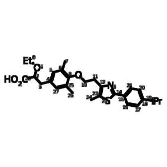 CCOC(Cc1cc(C)c(OCCc2nc(-c3ccc(C(C)C)cc3)sc2C)c(C)c1)C(=O)O